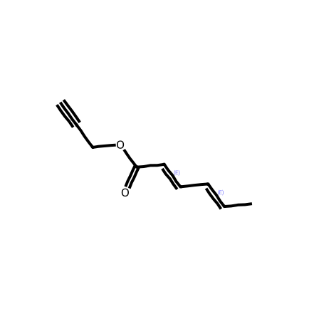 C#CCOC(=O)/C=C/C=C/C